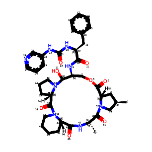 C[C@@H]1C[C@H]2C(=O)OC[C@H](NC(=O)[C@H](Cc3ccccc3)NC(=O)Nc3cccnc3)C(O)N3CCC[C@H]3C(=O)N3CCCC[C@H]3C(=O)N[C@@H](C)C(=O)N2C1